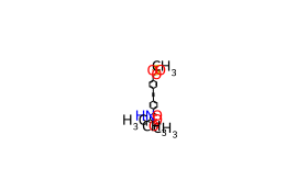 COC(=O)C(NC(=O)c1ccc(C#Cc2ccc(COS(C)(=O)=O)cc2)cc1)C(C)C